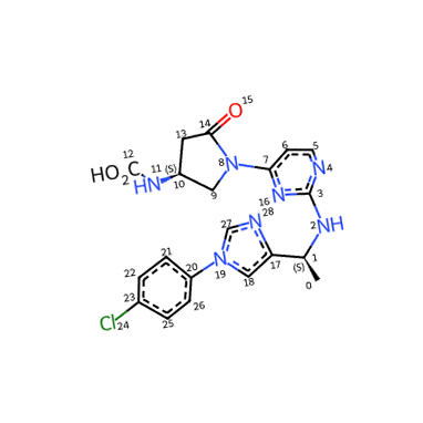 C[C@H](Nc1nccc(N2C[C@@H](NC(=O)O)CC2=O)n1)c1cn(-c2ccc(Cl)cc2)cn1